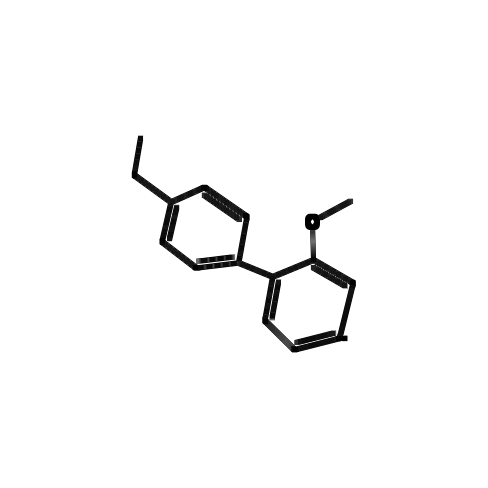 CCc1ccc(-c2cc[c]cc2OC)cc1